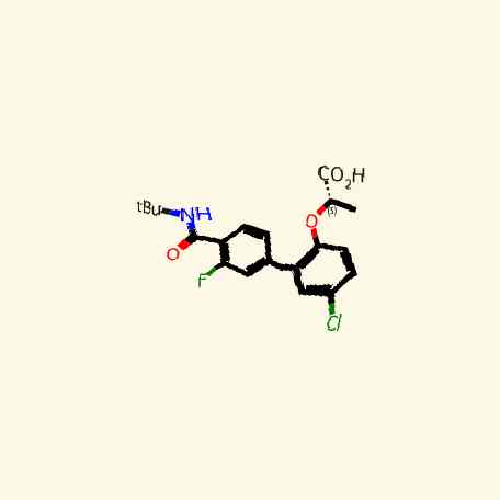 C[C@H](Oc1ccc(Cl)cc1-c1ccc(C(=O)NC(C)(C)C)c(F)c1)C(=O)O